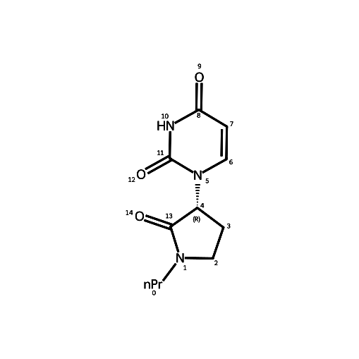 CCCN1CC[C@@H](n2ccc(=O)[nH]c2=O)C1=O